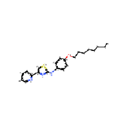 CCCCCCCCOc1ccc(Nc2nc(-c3ccccn3)cs2)cc1